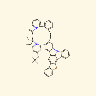 C=C1CC(CC)(CC)[n+]2ccc(CC(C)(C)C)cc2-c2cc3c4cc5c6ccccc6sc5c5c6ccccc6n(c3cc2CCc2ccccc2-c2cccc[n+]21)c45